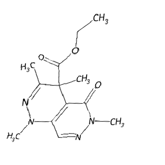 CCOC(=O)C1(C)C(C)=NN(C)c2cnn(C)c(=O)c21